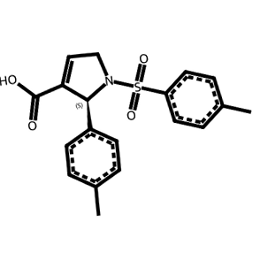 Cc1ccc([C@H]2C(C(=O)O)=CCN2S(=O)(=O)c2ccc(C)cc2)cc1